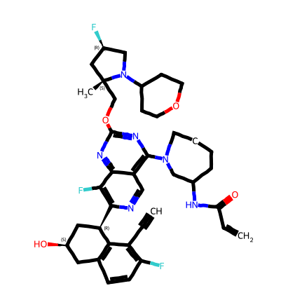 C#Cc1c(F)ccc2c1[C@H](c1ncc3c(N4CCCCC(NC(=O)C=C)C4)nc(OC[C@]4(C)C[C@@H](F)CN4C4CCOCC4)nc3c1F)C[C@H](O)C2